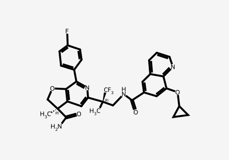 C[C@]1(C(N)=O)COc2c1cc([C@@](C)(CNC(=O)c1cc(OC3CC3)c3ncccc3c1)C(F)(F)F)nc2-c1ccc(F)cc1